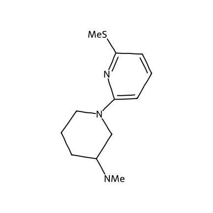 CNC1CCCN(c2cccc(SC)n2)C1